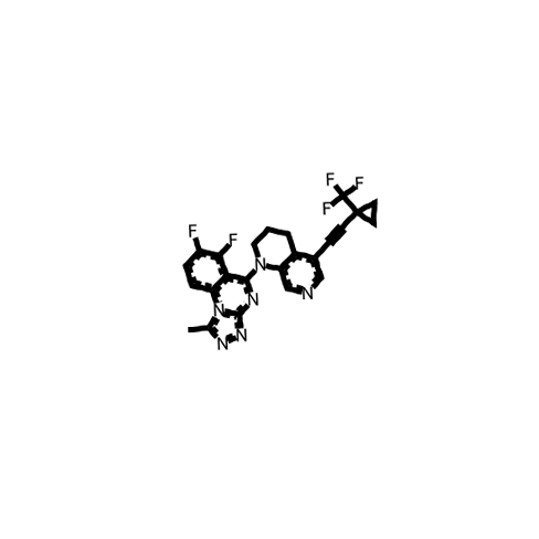 Cc1nnc2nc(N3CCCc4c(C#CC5(C(F)(F)F)CC5)cncc43)c3c(F)c(F)ccc3n12